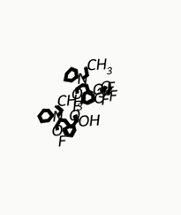 CCCN(C1CCCCC1)[C@H]1COc2c(F)ccc(C(=O)O)c2C1.CCCN(C1CCCCC1)[C@H]1COc2c(F)ccc(OS(=O)(=O)C(F)(F)F)c2C1